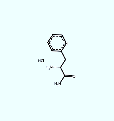 Cl.NC(=O)[C@H](N)Cc1ccccn1